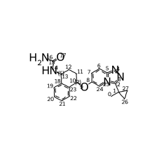 CC1(c2nnc3ccc(O[C@@H]4CC[C@H](NC(N)=O)c5ccccc54)cn23)CC1